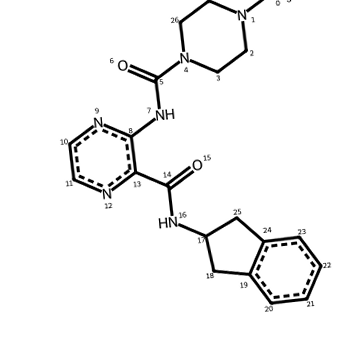 CN1CCN(C(=O)Nc2nccnc2C(=O)NC2Cc3ccccc3C2)CC1